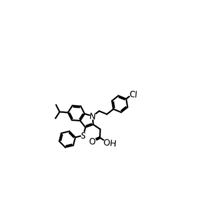 CC(C)c1ccc2c(c1)c(Sc1ccccc1)c(CC(=O)O)n2CCc1ccc(Cl)cc1